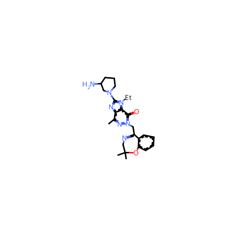 CCn1c(N2CCCC(N)C2)nc2c(C)nn(CC3=NCC(C)(C)Oc4ccccc43)c(=O)c21